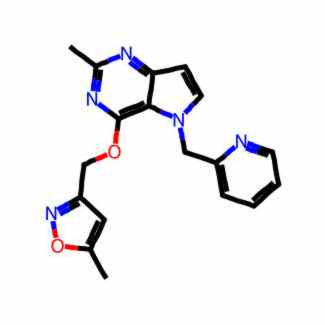 Cc1nc(OCc2cc(C)on2)c2c(ccn2Cc2ccccn2)n1